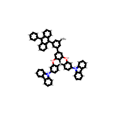 CC(C)(C)c1cc(-c2cc3c4c(c2)Oc2cc(-n5c6ccccc6c6ccccc65)ccc2B4c2ccc(-n4c5ccccc5c5ccccc54)cc2O3)cc(-c2c3ccccc3c(-c3ccccc3)c3ccccc23)c1